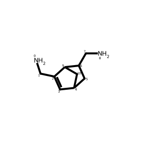 NCC1=CC2CC(CN)C1C2